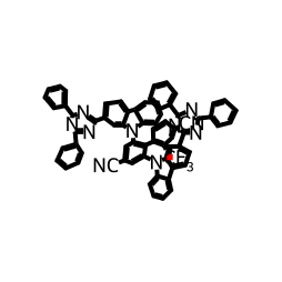 N#Cc1cc(-n2c3ccccc3c3ccc(-c4nc(-c5ccccc5)nc(-c5ccccc5)n4)cc32)c(-c2ccc(C#N)cc2C(F)(F)F)c(-n2c3ccccc3c3ccc(-c4nc(-c5ccccc5)nc(-c5ccccc5)n4)cc32)c1